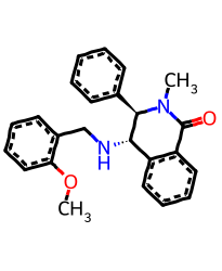 COc1ccccc1CN[C@H]1c2ccccc2C(=O)N(C)[C@@H]1c1ccccc1